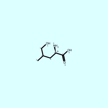 CC(CO)C[C@@H](N)C(=O)O